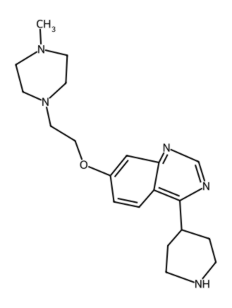 CN1CCN(CCOc2ccc3c(C4CCNCC4)ncnc3c2)CC1